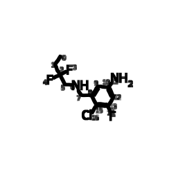 CCC(F)(F)CNCc1cc(N)cc(F)c1Cl